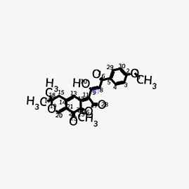 COc1ccc(C(=O)/C=C(\O)C2=C3C=C4CC(C)(C)OC=C4C(=O)C3(C)OC2=O)cc1